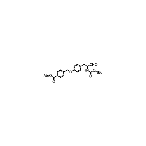 COC(=O)c1ccc(COc2ccc(CC(C=O)NC(=O)OC(C)(C)C)cc2)cc1